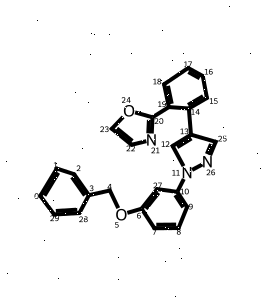 c1ccc(COc2cccc(-n3cc(-c4ccccc4-c4ncco4)cn3)c2)cc1